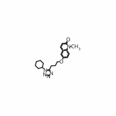 Cn1c(=O)ccc2cc(OCCCc3nnnn3C3CCCCC3)ccc21